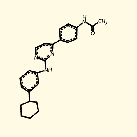 CC(=O)Nc1ccc(-c2ccnc(Nc3cccc(C4CCCCC4)c3)n2)cc1